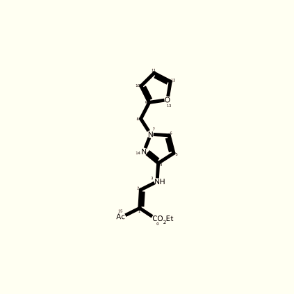 CCOC(=O)/C(=C\Nc1ccn(Cc2ccco2)n1)C(C)=O